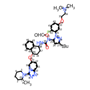 C[C@H]1CCCCN1c1nnc2ccc(O[C@@H]3CC[C@H](NC(=O)N(OC=O)c4cc(C(C)(C)C)nn4-c4cc(OCCN(C)C)ccc4F)c4ccccc43)cn12